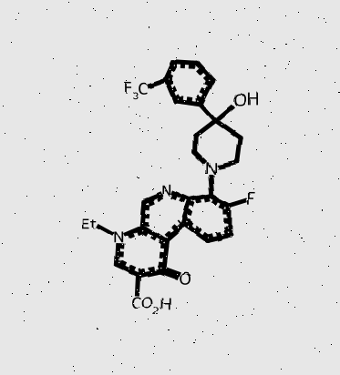 CCn1cc(C(=O)O)c(=O)c2c3ccc(F)c(N4CCC(O)(c5cccc(C(F)(F)F)c5)CC4)c3ncc21